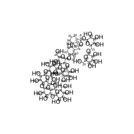 C=C1C[C@@]23CCC4[C@](C)(C(=O)OC5OC(COC6OC(CO)C(O)C(O)C6O)C(O)C(O)C5O)CCC[C@@]4(C)[C@@H]2CC[C@]1(OC1OC(CO)C(O)C(OC2OC(CO)C(OC4OC(CO)C(OC5OC(CO)C(OC6OC(CO)C(O)C(O)C6O)C(O)C5O)C(O)C4O)C(O)C2O)C1OC1OC(CO)C(O)C(O)C1O)C3